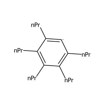 CCCc1[c]c(CCC)c(CCC)c(CCC)c1CCC